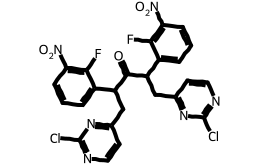 O=C(C(Cc1ccnc(Cl)n1)c1cccc([N+](=O)[O-])c1F)C(Cc1ccnc(Cl)n1)c1cccc([N+](=O)[O-])c1F